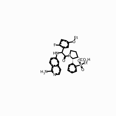 CCOc1ccc(F)c(C(Nc2ccc3c(N)nccc3c2)C(=O)N2CC[C@H](C(=O)O)[C@@H]2c2ccccc2S(=O)(=O)CC)c1